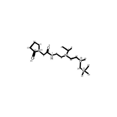 CC(C)N(CCNC(=O)CN1CCCC1=O)CCN(C)C[Si](C)(C)C